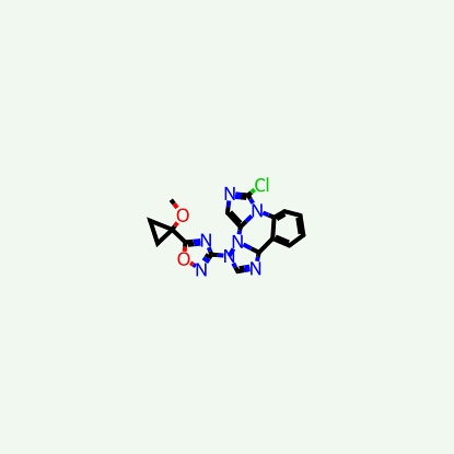 COC1(c2nc(N3C=NC4c5ccccc5-n5c(cnc5Cl)N43)no2)CC1